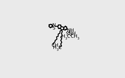 CCCCCCCCCCC1(CCCCCCCCCC)c2cc(NC(=S)NC(C)C)ccc2-c2ccc(-c3nc4ccccc4s3)cc21